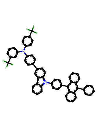 FC(F)(F)c1ccc(N(c2ccc(-c3ccc4c(c3)c3ccccc3n4-c3ccc(-c4c5ccccc5c(-c5ccccc5)c5ccccc45)cc3)cc2)c2cccc(C(F)(F)F)c2)cc1